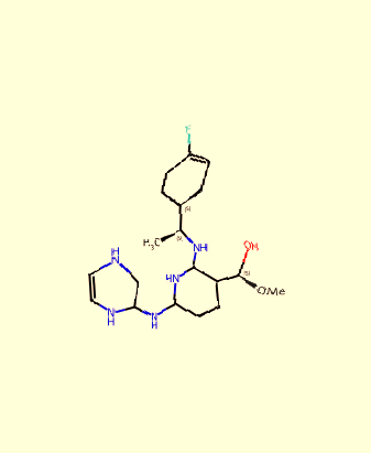 CO[C@H](O)C1CCC(NC2CNC=CN2)NC1N[C@@H](C)[C@@H]1CC=C(F)CC1